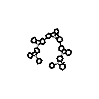 CC12C=CC=CC1N(c1ccccc1)c1ccc(-n3c4ccccc4c4cc(-c5ccc6c7cccc8c9ccc(-c%10ccc%11c(c%10)c%10ccccc%10n%11-c%10ccc%11c(c%10)c%10ccccc%10n%11-c%10ccccc%10)cc9n(c6c5)c78)ccc43)cc12